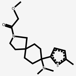 COCC(=O)N1CCC2(CCC(c3ccc(C)s3)(N(C)C)CC2)C1